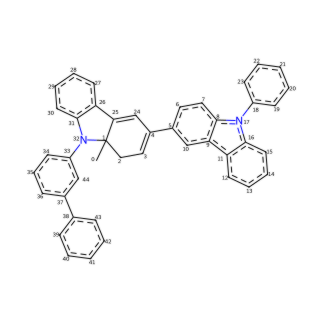 CC12CC=C(c3ccc4c(c3)c3ccccc3n4-c3ccccc3)C=C1c1ccccc1N2c1cccc(-c2ccccc2)c1